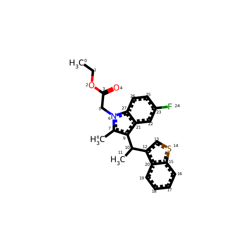 CCOC(=O)Cn1c(C)c(C(C)c2csc3ccccc23)c2cc(F)ccc21